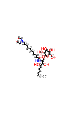 CCCCCCCCCCCCCC[C@@H](O)[C@@H](O)[C@H](CO[C@H]1O[C@H](CO)[C@H](O)[C@H](O)[C@H]1O)NC(=O)CCCCCCCCCCN1CCOCC1